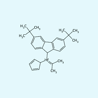 C[C](C)=[Hf]([CH]1C=CC=C1)[CH]1c2ccc(C(C)(C)C)cc2-c2cc(C(C)(C)C)ccc21